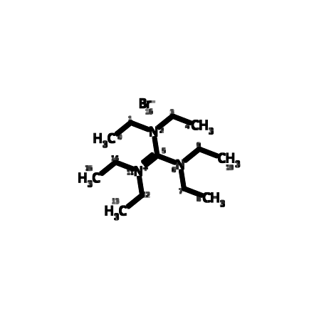 CCN(CC)C(N(CC)CC)=[N+](CC)CC.[Br-]